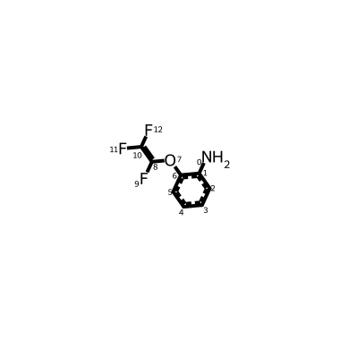 Nc1ccccc1OC(F)=C(F)F